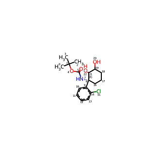 CC(C)(C)OC(=O)N[C@@]1(c2ccccc2Cl)CCCC(O)C1O